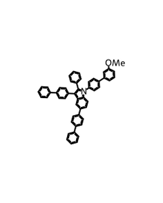 COc1cccc(-c2ccc(-n3c(-c4ccccc4)c(-c4ccc(-c5ccccc5)cc4)c4cc(-c5ccc(-c6ccccc6)cc5)ccc43)cc2)c1